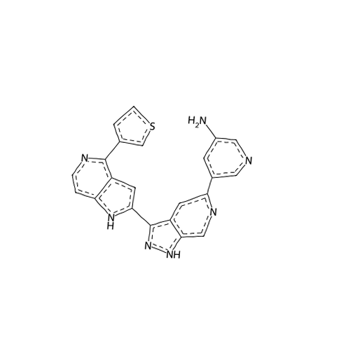 Nc1cncc(-c2cc3c(-c4cc5c(-c6ccsc6)nccc5[nH]4)n[nH]c3cn2)c1